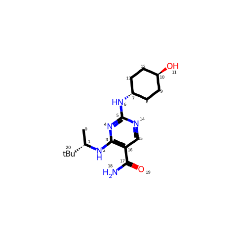 C[C@H](Nc1nc(N[C@H]2CC[C@H](O)CC2)ncc1C(N)=O)C(C)(C)C